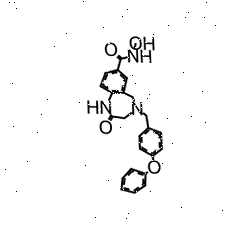 O=C1CN(Cc2ccc(Oc3ccccc3)cc2)Cc2cc(C(=O)NO)ccc2N1